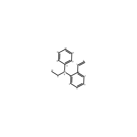 C=Cc1ccccc1P(CC)c1ccccc1